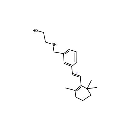 CC1=C(/C=C/c2cccc(CNCCO)c2)C(C)(C)CCC1